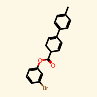 Cc1ccc(C2=CCC(C(=O)Oc3cccc(Br)c3)C=C2)cc1